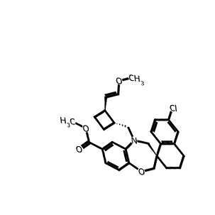 CO/C=C/[C@@H]1CC[C@H]1CN1C[C@@]2(CCCc3cc(Cl)ccc32)COc2ccc(C(=O)OC)cc21